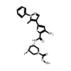 Cc1c(-c2cc(N)c(C(=O)N[C@H]3C[C@H](F)CN(C(=O)OC(C)(C)C)C3)s2)cnn1-c1ccccc1